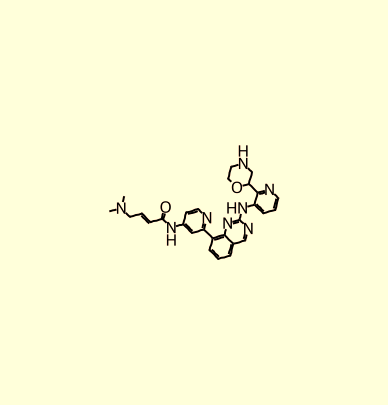 CN(C)C/C=C/C(=O)Nc1ccnc(-c2cccc3cnc(Nc4cccnc4C4CNCCO4)nc23)c1